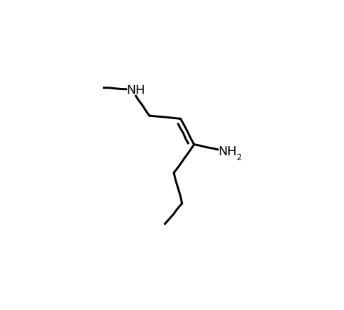 CCC/C(N)=C\CNC